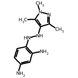 Cc1nn(C)c(C)c1NNc1ccc(N)cc1N